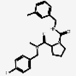 Cc1cccc(CNC(=O)N2CCCC2C(=O)N(C)Cc2ccc(Cl)cc2)c1